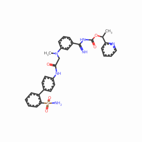 CC(OC(=O)NC(=N)c1cccc(N(C)CC(=O)Nc2ccc(-c3ccccc3S(N)(=O)=O)cc2)c1)c1ccccn1